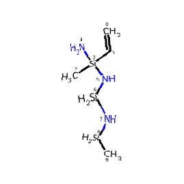 C=C[Si](C)(N)N[SiH2]N[SiH2]C